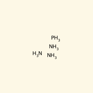 N.N.N.P